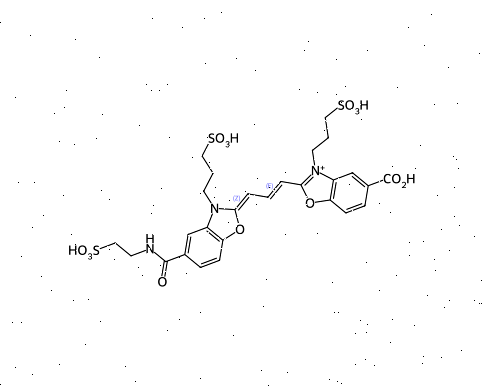 O=C(O)c1ccc2oc(/C=C/C=C3\Oc4ccc(C(=O)NCCS(=O)(=O)O)cc4N3CCCS(=O)(=O)O)[n+](CCCS(=O)(=O)O)c2c1